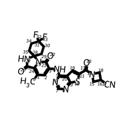 Cc1cc(Nc2ncnc3sc(C(=O)N4CC(C#N)C4)cc23)c(=O)n2c1C(=O)NC21CCC(F)(F)CC1